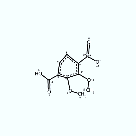 COc1c(C(=O)O)ccc([N+](=O)[O-])c1OC